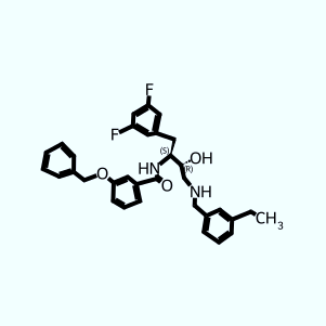 CCc1cccc(CNC[C@@H](O)[C@H](Cc2cc(F)cc(F)c2)NC(=O)c2cccc(OCc3ccccc3)c2)c1